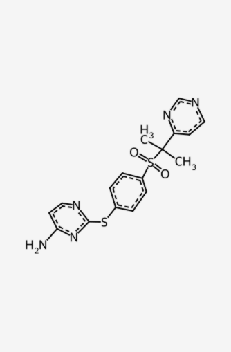 CC(C)(c1ccncn1)S(=O)(=O)c1ccc(Sc2nccc(N)n2)cc1